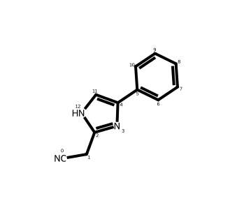 N#CCc1nc(-c2ccccc2)c[nH]1